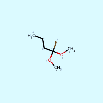 CCCC(Br)(OC)OC